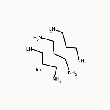 NCCCN.NCCCN.NCCCN.[Ru]